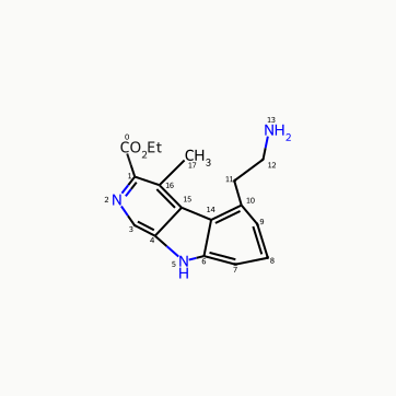 CCOC(=O)c1ncc2[nH]c3cccc(CCN)c3c2c1C